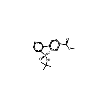 COC(=O)c1ccc(-c2ccccc2S(=O)(=O)NC(C)(C)C)cc1